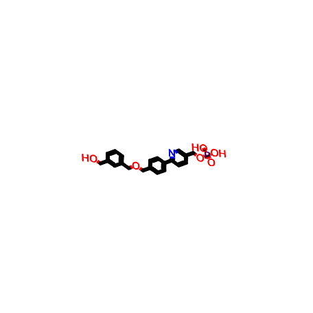 O=P(O)(O)OCc1ccc(-c2ccc(COCc3cccc(CO)c3)cc2)nc1